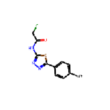 CCCc1ccc(-c2nnc(NC(=O)CCl)s2)cc1